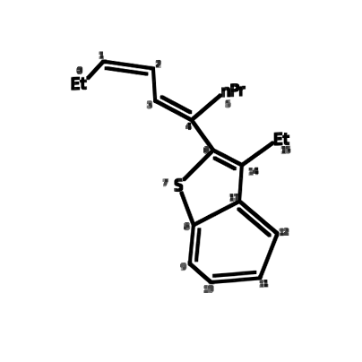 CC/C=C\C=C(/CCC)c1sc2ccccc2c1CC